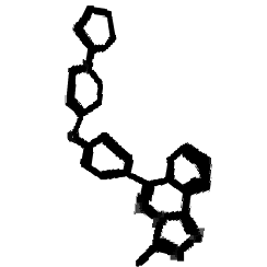 Cc1nnc2c3ccccc3c(-c3ccc(OC4CCN(C5CCCC5)CC4)cc3)nn12